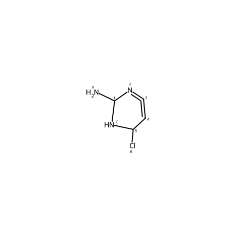 NC1N=C=CC(Cl)N1